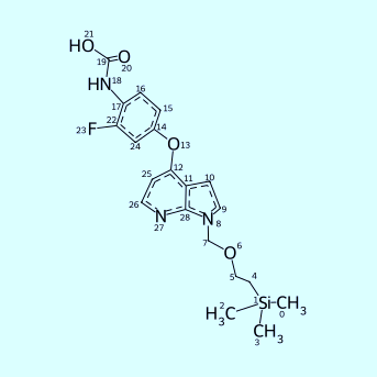 C[Si](C)(C)CCOCn1ccc2c(Oc3ccc(NC(=O)O)c(F)c3)ccnc21